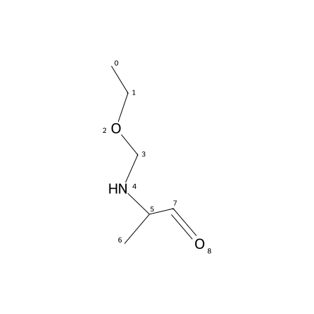 CCOCNC(C)C=O